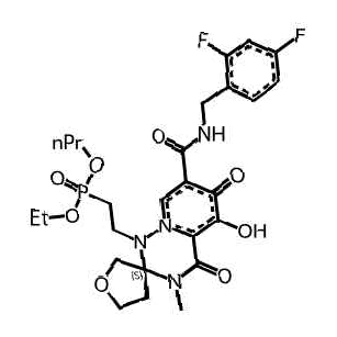 CCCOP(=O)(CCN1n2cc(C(=O)NCc3ccc(F)cc3F)c(=O)c(O)c2C(=O)N(C)[C@@]12CCOC2)OCC